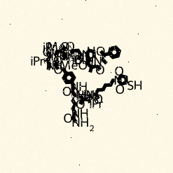 CC[C@H](C)[C@@H]([C@@H](CC(=O)N1CCC[C@H]1[C@H](OC)C(C)C(=O)NC(C)C(O)c1ccccc1)OC)N(C)C(=O)[C@@H](NC(=O)[C@H](C(C)C)N(C)C(=O)OCc1ccc(NC(=O)[C@H](CCCNC(N)=O)NC(=O)C(NC(=O)CCCCCN2C(=O)CC(S)C2=O)C(C)C)cc1)C(C)C